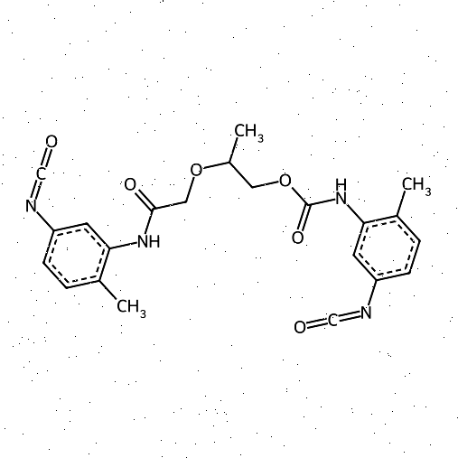 Cc1ccc(N=C=O)cc1NC(=O)COC(C)COC(=O)Nc1cc(N=C=O)ccc1C